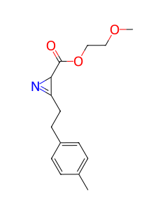 COCCOC(=O)C1N=C1CCc1ccc(C)cc1